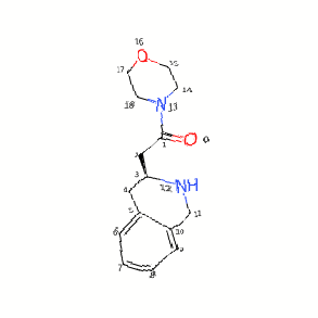 O=C(C[C@@H]1Cc2ccccc2CN1)N1CCOCC1